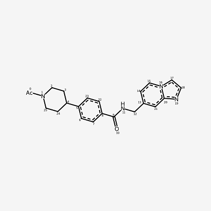 CC(=O)N1CCC(c2ccc(C(=O)NCc3ccn4ccnc4c3)cc2)CC1